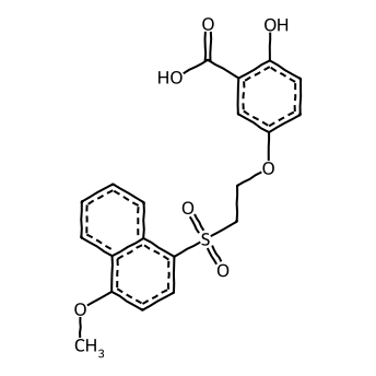 COc1ccc(S(=O)(=O)CCOc2ccc(O)c(C(=O)O)c2)c2ccccc12